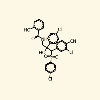 N#Cc1ccc(C(C(O)(CNC(=O)c2ccccc2O)c2ccc(Cl)cc2)S(=O)(=O)c2ccc(Cl)cc2)cc1Cl